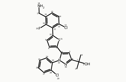 CC(C)(O)c1cc(-c2ccc(-c3c(Cl)ccc(CN)c3F)s2)n(-c2ccccc2Cl)n1